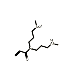 C=CC(=O)N(CCC[AsH]C)CCC[AsH]C